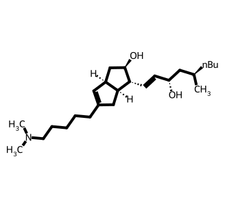 CCCC[C@@H](C)C[C@H](O)/C=C/[C@@H]1[C@H]2CC(CCCCCN(C)C)=C[C@H]2C[C@H]1O